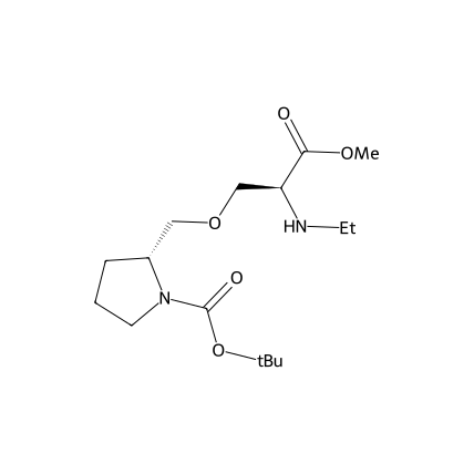 CCN[C@@H](COC[C@H]1CCCN1C(=O)OC(C)(C)C)C(=O)OC